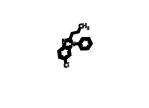 CCCc1nc2ccc(Cl)cc2n1-c1ccccc1